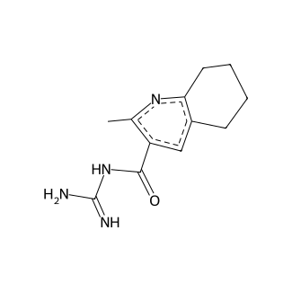 Cc1nc2c(cc1C(=O)NC(=N)N)CCCC2